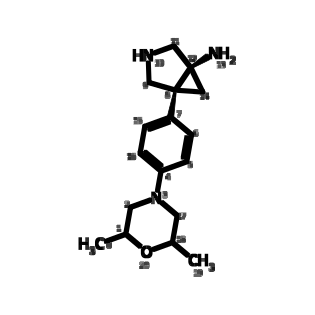 CC1CN(c2ccc([C@@]34CNC[C@]3(N)C4)cc2)CC(C)O1